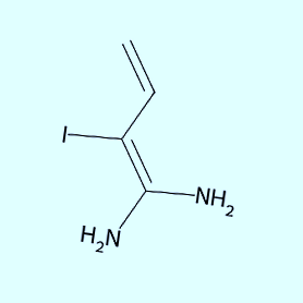 C=CC(I)=C(N)N